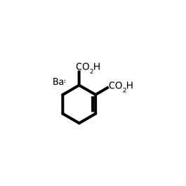 O=C(O)C1=CCCCC1C(=O)O.[Ba]